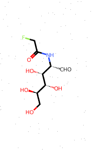 O=C[C@@H](NC(=O)CF)[C@@H](O)[C@H](O)[C@H](O)CO